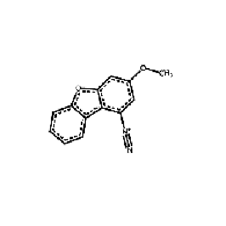 COc1cc([N+]#N)c2c(c1)oc1ccccc12